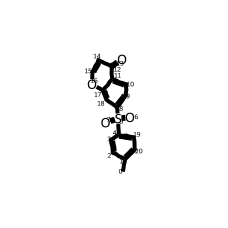 Cc1ccc(S(=O)(=O)c2ccc3c(=O)ccoc3c2)cc1